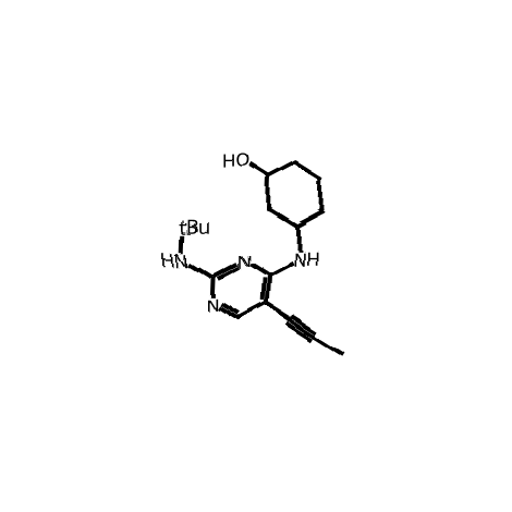 CC#Cc1cnc(NC(C)(C)C)nc1NC1CCCC(O)C1